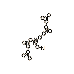 N#Cc1cccc(-c2cc(-c3ccc(-c4ccc(-n5c6ccccc6c6cc(-c7ccc8c(c7)c7ccccc7n8-c7ccccc7)ccc65)cc4)cc3)nc(-c3cccc(-n4c5ccccc5c5cc(-c6ccc7c(c6)c6ccccc6n7-c6ccccc6)ccc54)c3)n2)c1